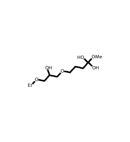 CCOCC(O)COCCCC(O)(O)OC